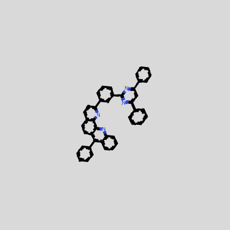 c1ccc(-c2cc(-c3ccccc3)nc(-c3cccc(-c4ccc5ccc6c(-c7ccccc7)c7ccccc7nc6c5n4)c3)n2)cc1